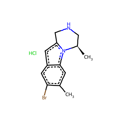 Cc1cc2c(cc1Br)cc1n2[C@H](C)CNC1.Cl